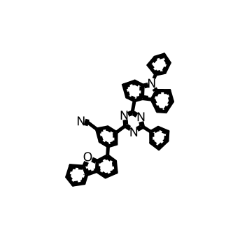 N#Cc1cc(-c2nc(-c3ccccc3)nc(-c3cccc4c3c3ccccc3n4-c3ccccc3)n2)cc(-c2cccc3c2oc2ccccc23)c1